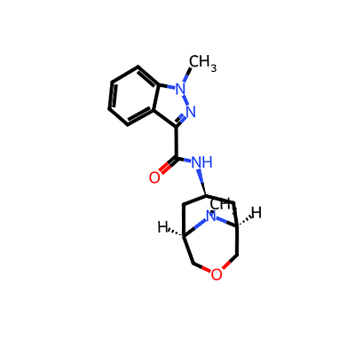 CN1[C@@H]2COC[C@H]1C[C@@H](NC(=O)c1nn(C)c3ccccc13)C2